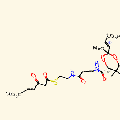 COC1(/C=C/C(=O)O)OCC(C)(C)[C@H](C(=O)NCCC(=O)NCCSC(=O)CC(=O)CCC(=O)O)O1